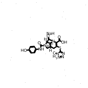 Cn1nnnc1SC1=C(C(=O)O)N2C(=O)[C@@H]3[C@H]2[C@H](C1)CN3C(=O)Nc1ccc(O)cc1.[NaH]